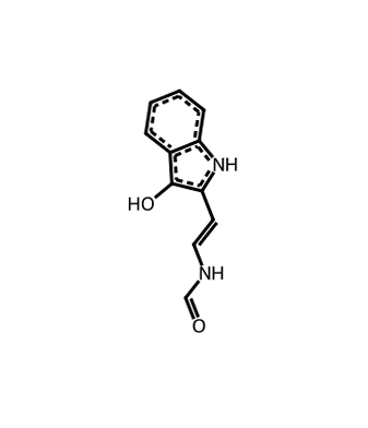 O=CNC=Cc1[nH]c2ccccc2c1O